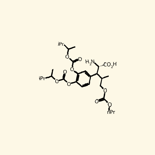 CCCOC(=O)OCC(C)C(c1ccc(OC(=O)OC(C)C(C)C)c(OC(=O)OC(C)C(C)C)c1)[C@H](N)C(=O)O